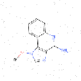 CC(C)On1cnc2c(N)nc3ccccc3c21